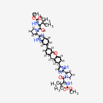 COC(=O)N[C@H](C(=O)N1CCC[C@H]1c1ncc(-c2ccc3c(c2)Cc2ccc(-c4ccc5nc([C@@H]6CCCN6C(=O)[C@@H](NC(=O)OC)C(C)C)[nH]c5c4)cc2O3)[nH]1)C(C)C